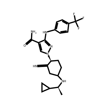 C[C@H](NC1CC[C@H](n2cc(C(N)=O)c(Nc3ccc(C(F)(F)F)cc3)n2)C(=N)C1)C1CC1